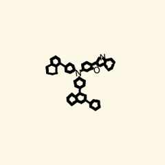 C1=Cc2cccc(-c3ccc(N(c4ccc(-c5cc(-c6ccccc6)cc6ccccc56)cc4)c4ccc5c(c4)oc4c6ccccc6ncc54)cc3)c2CC1